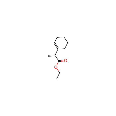 C=C(C(=O)OCC)C1=CCCCC1